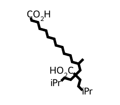 CC(C)CCC(CCC(C)C)(CC(C)CCCCCCCCCCCC(=O)O)C(=O)O